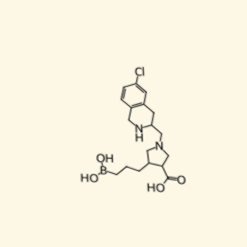 O=C(O)C1CN(CC2Cc3cc(Cl)ccc3CN2)CC1CCCB(O)O